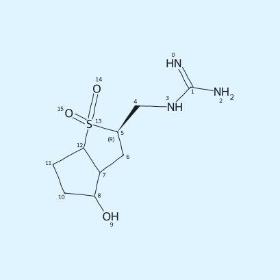 N=C(N)NC[C@H]1CC2C(O)CCC2S1(=O)=O